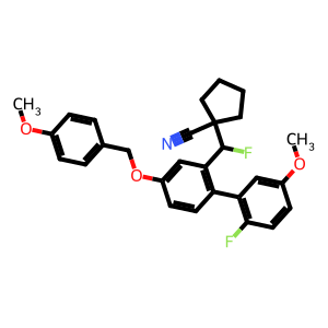 COc1ccc(COc2ccc(-c3cc(OC)ccc3F)c(C(F)C3(C#N)CCCC3)c2)cc1